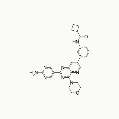 Nc1ncc(-c2nc(N3CCOCC3)c3ncc(-c4cccc(NC(=O)C5CCC5)c4)cc3n2)cn1